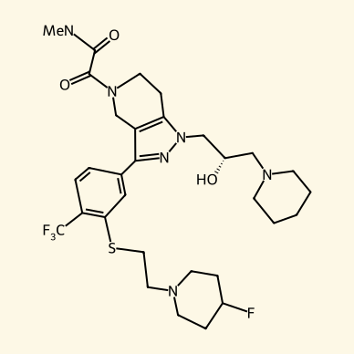 CNC(=O)C(=O)N1CCc2c(c(-c3ccc(C(F)(F)F)c(SCCN4CCC(F)CC4)c3)nn2C[C@@H](O)CN2CCCCC2)C1